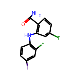 NC(=O)c1ccc(F)cc1Nc1ccc(I)cc1F